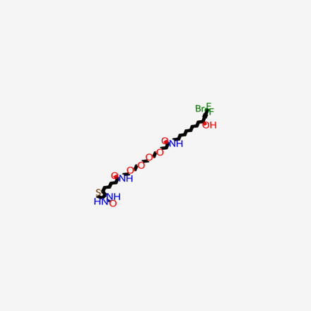 O=C(CCCCC1SCC2NC(=O)NC21)NCCOCCOCCOCCOCCC(=O)NCCCCCCCCCC(O)C#CC(F)(F)Br